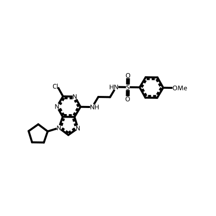 COc1ccc(S(=O)(=O)NCCNc2nc(Cl)nc3c2ncn3C2CCCC2)cc1